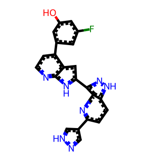 Oc1cc(F)cc(-c2ccnc3[nH]c(-c4n[nH]c5ccc(-c6cn[nH]c6)nc45)cc23)c1